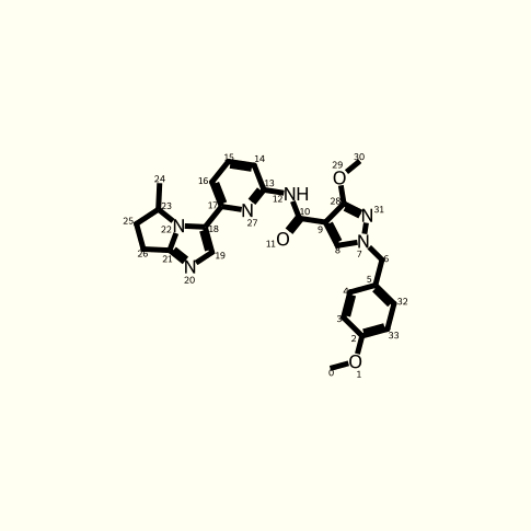 COc1ccc(Cn2cc(C(=O)Nc3cccc(-c4cnc5n4C(C)CC5)n3)c(OC)n2)cc1